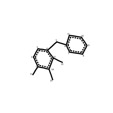 Cc1ccc(Cc2[c]cccc2)c(C)c1C